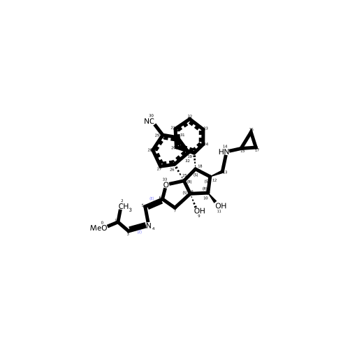 COC(C)/C=N\C=C1/C[C@]2(O)[C@H](O)[C@H](CNC3CC3)[C@@H](c3ccccc3)[C@]2(c2ccc(C#N)cc2)O1